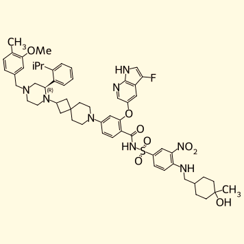 COc1cc(CN2CCN(C3CC4(CCN(c5ccc(C(=O)NS(=O)(=O)c6ccc(NCC7CCC(C)(O)CC7)c([N+](=O)[O-])c6)c(Oc6cnc7[nH]cc(F)c7c6)c5)CC4)C3)[C@H](c3ccccc3C(C)C)C2)ccc1C